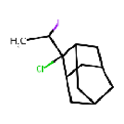 CC(I)C1(Cl)C2CC3CC(C2)CC1C3